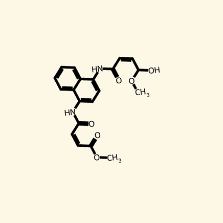 COC(=O)/C=C\C(=O)Nc1ccc(NC(=O)/C=C\C(O)OC)c2ccccc12